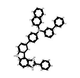 C1=C(c2ccc(N(c3cccc(-c4ccccc4)c3)c3ccc4ccccc4c3)cc2)CC2C(=C1)Oc1ccc3nc(-c4ccccc4)oc3c12